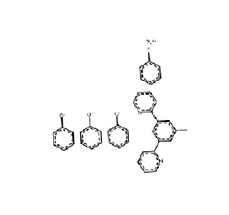 Cc1cc(-c2ccccn2)cc(-c2ccccn2)c1.[O-]c1ccccc1.[O-]c1ccccc1.[O-]c1ccccc1.[O-]c1ccccc1.[Pt+4]